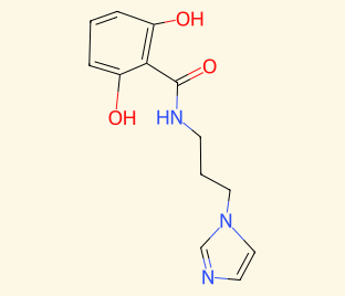 O=C(NCCCn1ccnc1)c1c(O)cccc1O